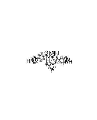 O=C(Nc1n[nH]c2cc(-c3ccc4[nH]ncc4c3)c(Cc3cc(F)cc(F)c3)cc12)c1ccc(N2CCNCC2)cc1